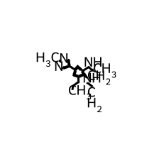 C=CCNc1c(CCC)cc(-c2cnc(C)nc2)cc1C(=N)C(=C)C